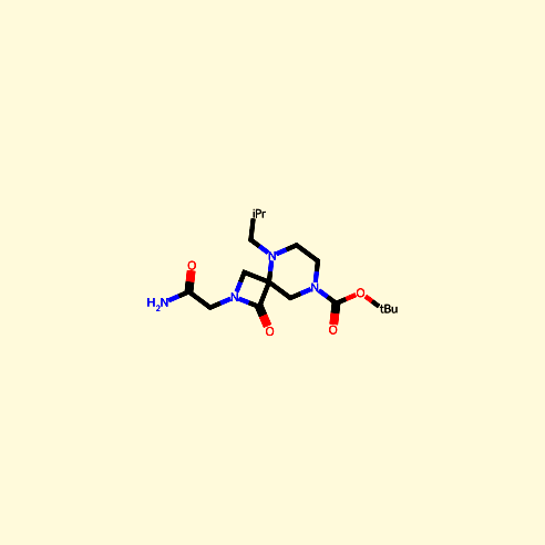 CC(C)CN1CCN(C(=O)OC(C)(C)C)CC12CN(CC(N)=O)C2=O